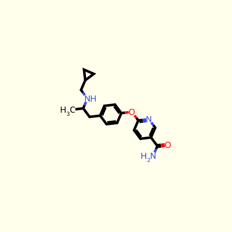 CC(Cc1ccc(Oc2ccc(C(N)=O)cn2)cc1)NCC1CC1